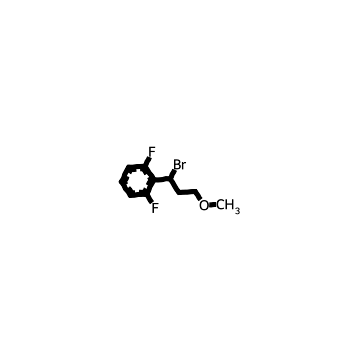 COCCC(Br)c1c(F)cccc1F